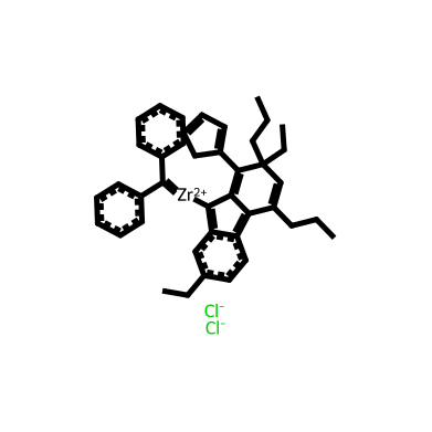 CCCC1=CC(CC)(CCC)C(C2=CC=CC2)=C2[C]([Zr+2]=[C](c3ccccc3)c3ccccc3)=c3cc(CC)ccc3=C12.[Cl-].[Cl-]